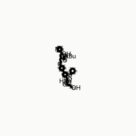 CC(C)(C)OC(=O)N(CCOc1ccc(-c2ccc(C(=O)NS(=O)(=O)CCCO)c(OC3CCCCC3)c2)cc1)C[C@H](O)c1cccnc1